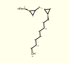 CCCCC[C@@H]1CC1C[C@@H]1C[C@H]1CCCCCCCCO